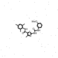 COc1cccc(NC(=O)Nc2nc(C)c(C(=O)Nc3c(C)cc(C)cc3C)s2)c1